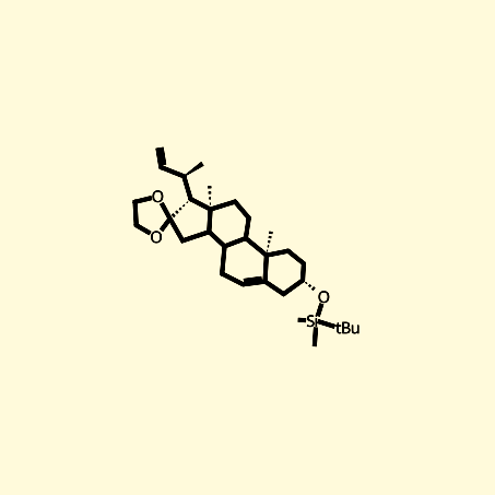 C=C[C@@H](C)[C@H]1C2(CC3C4CC=C5C[C@@H](O[Si](C)(C)C(C)(C)C)CC[C@]5(C)C4CC[C@@]31C)OCCO2